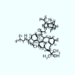 Cn1nc(NCC(F)F)c2cccc(-c3ccc(C#CC(C)(C)O)nc3C(Cc3cc(F)cc(F)c3)NC(=O)Cn3nc(C(F)F)c4c3C(F)(F)[C@@H]3C[C@H]43)c21